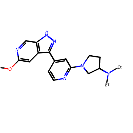 CCN(CC)C1CCN(c2cc(-c3n[nH]c4cnc(OC(C)C)cc34)ccn2)C1